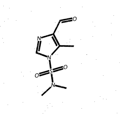 Cc1c(C=O)ncn1S(=O)(=O)N(C)C